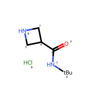 CC(C)(C)NC(=O)C1CNC1.Cl